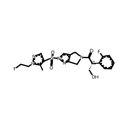 Cc1c(S(=O)(=O)n2cc3c(n2)CN(C(=O)[C@@H](CO)c2ccccc2F)C3)cnn1CCF